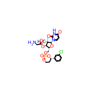 C[C@@]1(F)[C@H](OC(=O)CN)[C@@H](CO[P@@]2(=O)OCC[C@@H](c3cccc(Cl)c3)O2)O[C@H]1n1ccc(=O)[nH]c1=O